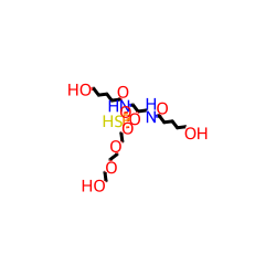 O=C(CCCCO)NCC(CNC(=O)CCCCO)OP(=O)(S)OCCOCCOCCO